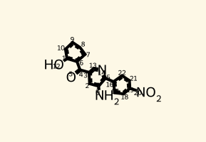 Nc1cc(C(=O)c2ccccc2O)cnc1-c1ccc([N+](=O)[O-])cc1